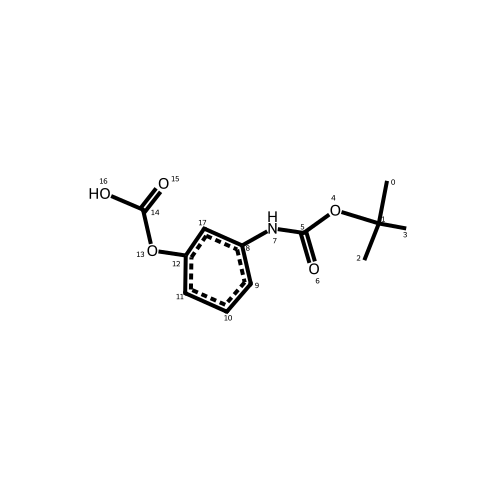 CC(C)(C)OC(=O)Nc1cccc(OC(=O)O)c1